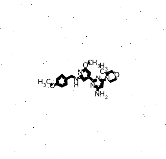 COc1ccc(CNc2cc(-c3nc(N)cc(N4CCOC[C@H]4C)n3)cc(OC)n2)cc1